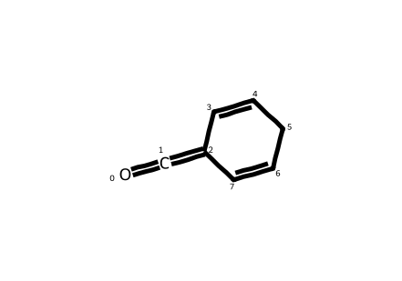 O=C=C1C=CCC=C1